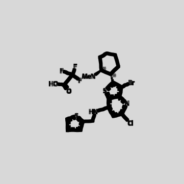 CN[C@H]1CCCC[C@@H]1c1sc2c(NCc3cccs3)cc(Cl)nc2c1Br.O=C(O)C(F)(F)F